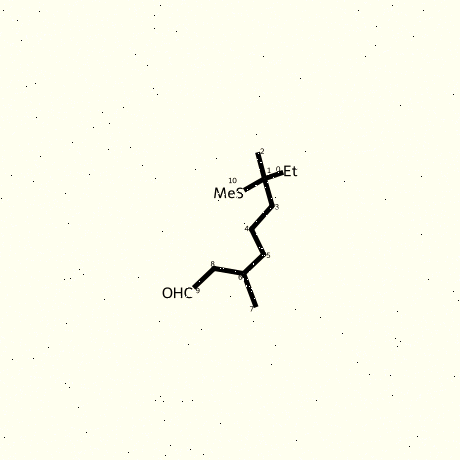 CCC(C)(CCCC(C)CC=O)SC